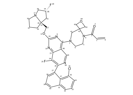 C=CC(=O)N1CCN(c2nc(OC[C@@]34CCCN3C[C@H](F)C4)nc3c(F)c(-c4cccc5cccc(Cl)c45)ncc23)CC12COC2